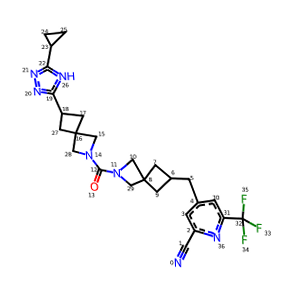 N#Cc1cc(CC2CC3(C2)CN(C(=O)N2CC4(CC(c5nnc(C6CC6)[nH]5)C4)C2)C3)cc(C(F)(F)F)n1